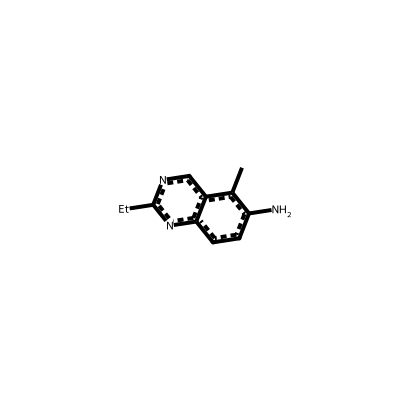 CCc1ncc2c(C)c(N)ccc2n1